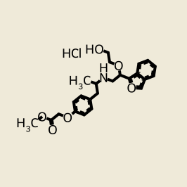 COC(=O)COc1ccc(CC(C)NCC(OCCO)c2occ3ccccc23)cc1.Cl